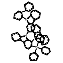 c1ccc(-c2ccccc2-n2c3ccccc3c3ccc(-n4c5ccccc5c5ccc([Si](c6ccccc6)(c6ccccc6)c6ccccc6)c(-n6c7ccccc7c7ccccc76)c54)cc32)cc1